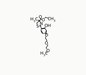 CCOC(=O)[C@@]1(C)CSC(c2ccc(OCCOCCOC)cc2O)=N1